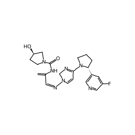 C=C(/C=N\N1C=CC(N2CCC[C@@H]2c2cncc(F)c2)=NC1)NC(=O)N1CC[C@@H](O)C1